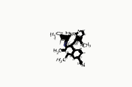 C=C/C(=C(/C)CC)C(c1ccc(C#N)cc1CC)c1c(C)ccnc1C